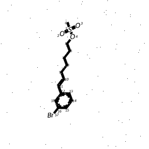 CS(=O)(=O)OCCCCC/C=C/c1cccc(Br)c1